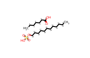 CCCCCCC(=O)O.CCCCCCCCCCCCOS(=O)(=O)O